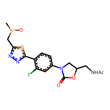 CC(=O)NCC1CN(c2ccc(-c3nnc(C[S+](C)[O-])s3)c(F)c2)C(=O)O1